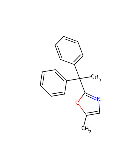 Cc1cnc(C(C)(c2ccccc2)c2ccccc2)o1